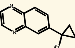 CC(C)C1(c2ccc3nccnc3c2)CC1